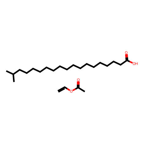 C=COC(C)=O.CC(C)CCCCCCCCCCCCCCCCC(=O)O